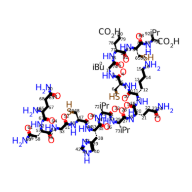 CC[C@H](C)[C@H](NC(=O)[C@H](CS)NC(=O)[C@H](CCCCN)NC(=O)[C@H](CCC(N)=O)NC(=O)[C@@H](NC(=O)[C@@H](NC(=O)[C@H](Cc1c[nH]cn1)NC(=O)[C@H](CS)NC(=O)CNC(=O)[C@H](CC(N)=O)NC(=O)[C@@H](N)CCC(N)=O)C(C)C)C(C)C)C(=O)N[C@@H](CCC(=O)O)C(=O)N[C@@H](CS)C(=O)N[C@H](C(=O)O)C(C)C